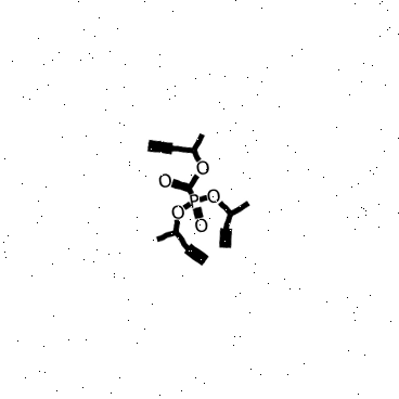 C#CC(C)OC(=O)P(=O)(OC(C)C#C)OC(C)C#C